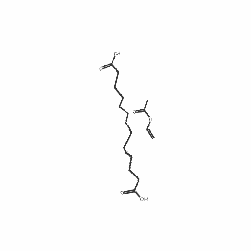 C=COC(C)=O.O=C(O)CCCCCCCCCCCC(=O)O